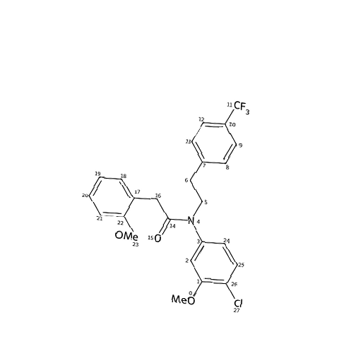 COc1cc(N(CCc2ccc(C(F)(F)F)cc2)C(=O)Cc2ccccc2OC)ccc1Cl